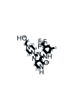 Cc1cc(Nc2nc(N3CCN(CCO)CC3)nc3cc[nH]c(=O)c23)cc(C(F)(F)F)c1